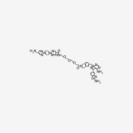 NCc1cnc(N2CCN(c3ncc(C(=O)NCCOCCOCCOCCC(=O)N4CCc5cc(Cn6nc(-c7ccc8oc(N)nc8c7)c7c(N)ncnc76)ccc5C4)cn3)CC2)nc1